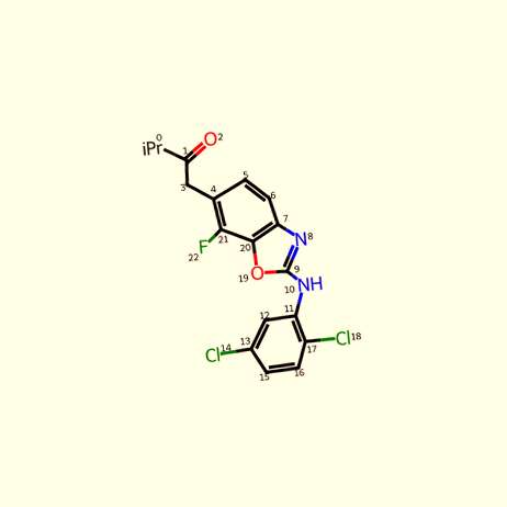 CC(C)C(=O)Cc1ccc2nc(Nc3cc(Cl)ccc3Cl)oc2c1F